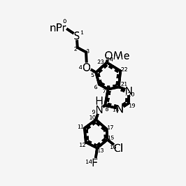 CCCSCCOc1cc2c(Nc3ccc(F)c(Cl)c3)ncnc2cc1OC